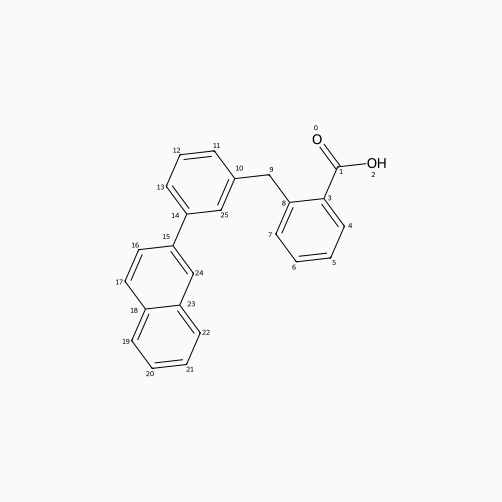 O=C(O)c1ccccc1Cc1cccc(-c2ccc3ccccc3c2)c1